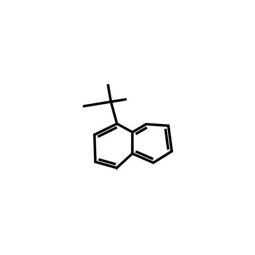 CC(C)(C)c1cc[c]c2ccc[c]c12